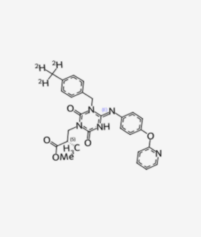 [2H]C([2H])([2H])c1ccc(Cn2c(=O)n(C[C@H](C)C(=O)OC)c(=O)[nH]/c2=N\c2ccc(Oc3ccccn3)cc2)cc1